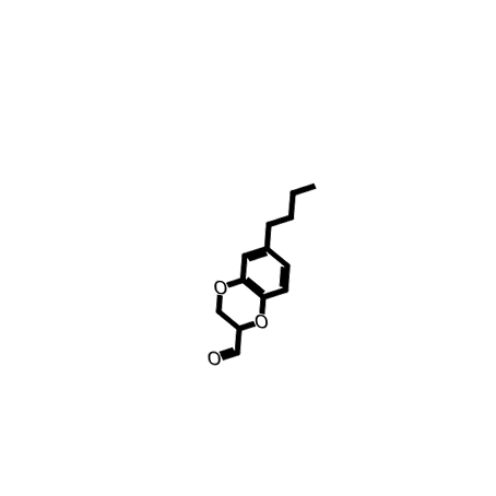 CCCCc1ccc2c(c1)OCC(C=O)O2